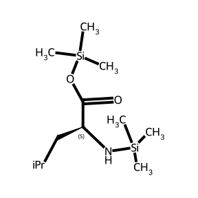 CC(C)C[C@H](N[Si](C)(C)C)C(=O)O[Si](C)(C)C